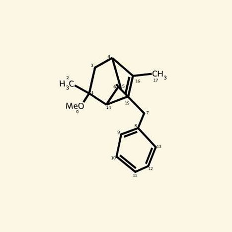 COC1(C)CC2C=C(Cc3ccccc3)C1C=C2C